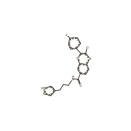 O=C(NCCCc1cn[nH]c1)c1ccc2nc(Cl)c(-c3ccc(F)cc3)nc2c1